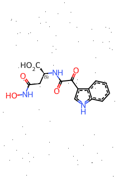 O=C(C[C@H](NC(=O)C(=O)c1c[nH]c2ccccc12)C(=O)O)NO